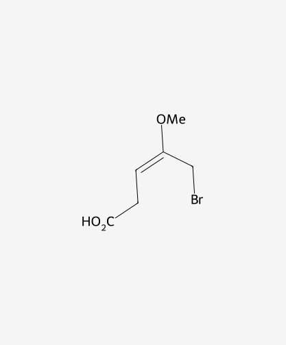 COC(=CCC(=O)O)CBr